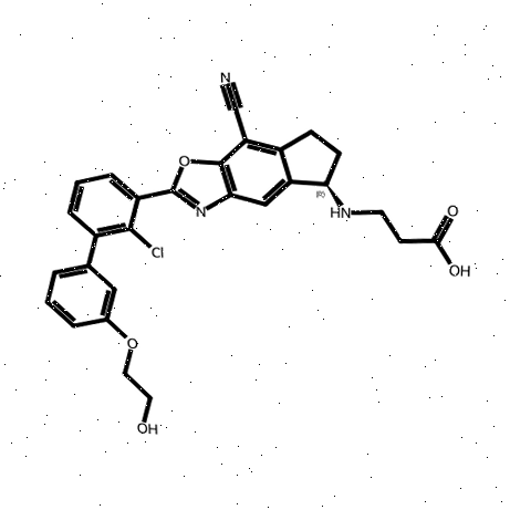 N#Cc1c2c(cc3nc(-c4cccc(-c5cccc(OCCO)c5)c4Cl)oc13)[C@H](NCCC(=O)O)CC2